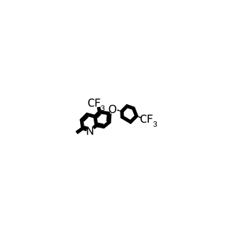 Cc1ccc2c(C(F)(F)F)c(O[C@H]3CC[C@@H](C(F)(F)F)CC3)ccc2n1